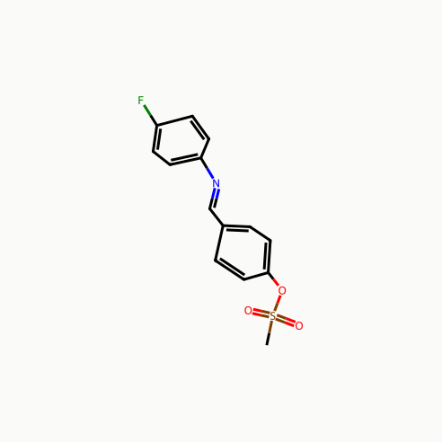 CS(=O)(=O)Oc1ccc(/C=N/c2ccc(F)cc2)cc1